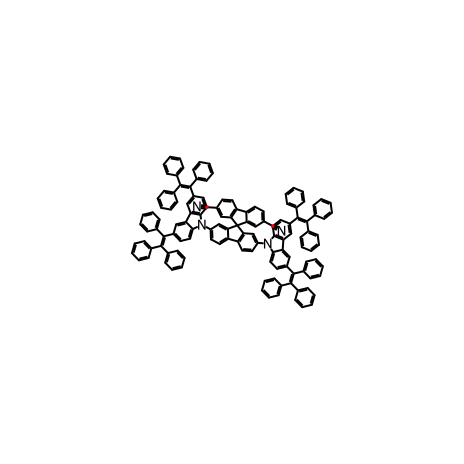 N#Cc1ccc2c(c1)C1(c3cc(C#N)ccc3-2)c2cc(-n3c4ccc(C(=C(c5ccccc5)c5ccccc5)c5ccccc5)cc4c4cc(C(=C(c5ccccc5)c5ccccc5)c5ccccc5)ccc43)ccc2-c2ccc(-n3c4ccc(C(=C(c5ccccc5)c5ccccc5)c5ccccc5)cc4c4cc(C(=C(c5ccccc5)c5ccccc5)c5ccccc5)ccc43)cc21